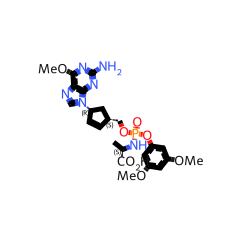 COc1cc(OC)cc(OP(=O)(N[C@@H](C)C(=O)O)OC[C@@H]2C=C[C@H](n3cnc4c(OC)nc(N)nc43)C2)c1